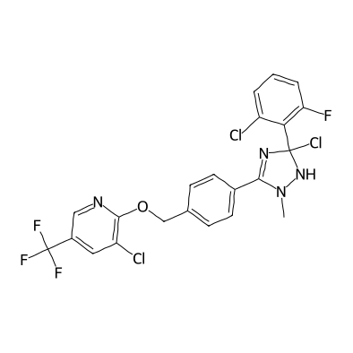 CN1NC(Cl)(c2c(F)cccc2Cl)N=C1c1ccc(COc2ncc(C(F)(F)F)cc2Cl)cc1